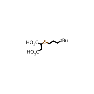 CC(C)(C)CCCSC(CC(=O)O)C(=O)O